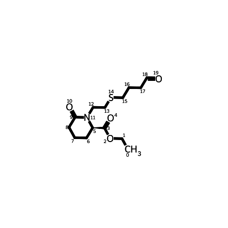 CCOC(=O)[C@H]1CCCC(=O)N1CCSCCCC=O